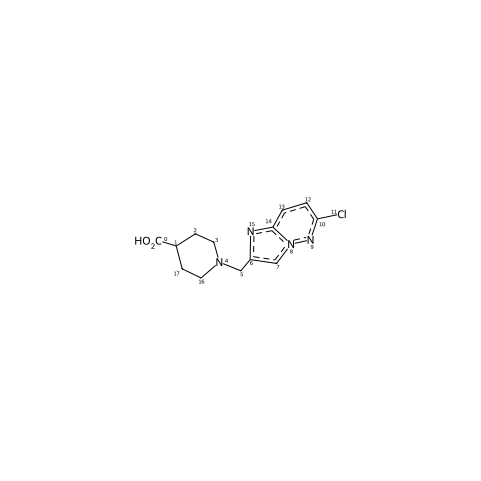 O=C(O)C1CCN(Cc2cn3nc(Cl)ccc3n2)CC1